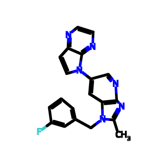 Cc1nc2ncc(-n3ccc4nccnc43)cc2n1Cc1cccc(F)c1